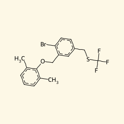 Cc1cccc(C)c1OCc1cc(CSC(F)(F)F)ccc1Br